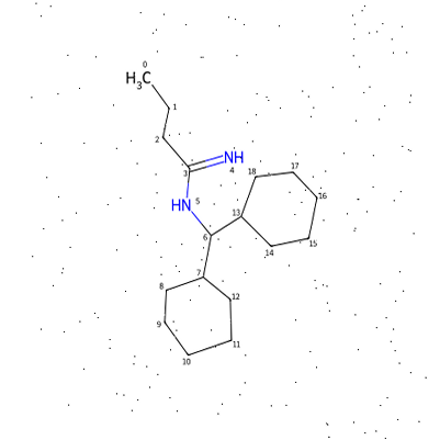 CCCC(=N)NC(C1CCCCC1)C1CCCCC1